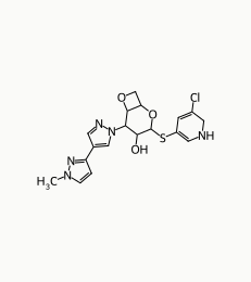 Cn1ccc(-c2cnn(C3C(O)C(SC4=CNCC(Cl)=C4)OC4COC43)c2)n1